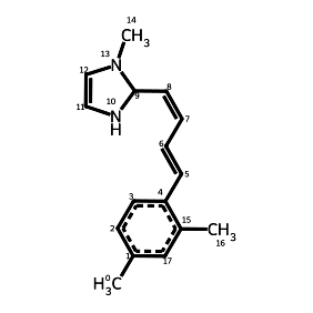 Cc1ccc(/C=C/C=C\C2NC=CN2C)c(C)c1